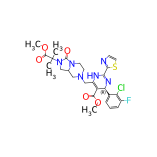 COC(=O)C1=C(CN2CCN3C(=O)N(C(C)(C)C(=O)OC)CC3C2)NC(c2nccs2)=N[C@H]1c1cccc(F)c1Cl